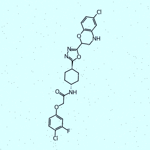 O=C(COc1ccc(Cl)c(F)c1)N[C@H]1CC[C@H](c2nnc(C3CNc4cc(Cl)ccc4O3)o2)CC1